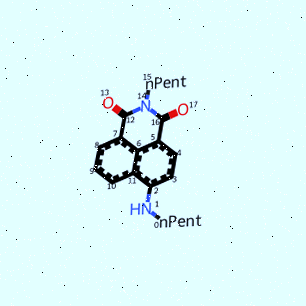 CCCCCNc1ccc2c3c(cccc13)C(=O)N(CCCCC)C2=O